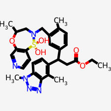 CCOC(=O)CC(c1ccc(C)c(CN2CC(C)Oc3cnccc3S2(O)O)c1)c1ccc2c(nnn2C)c1C